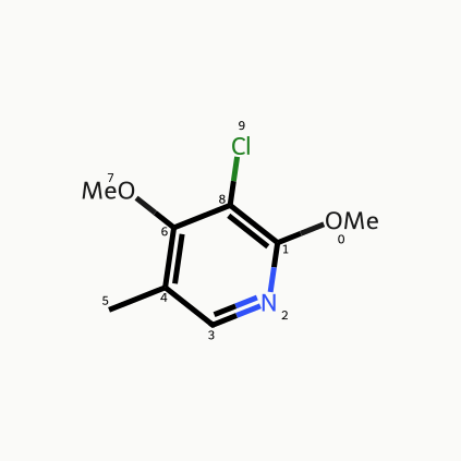 COc1ncc(C)c(OC)c1Cl